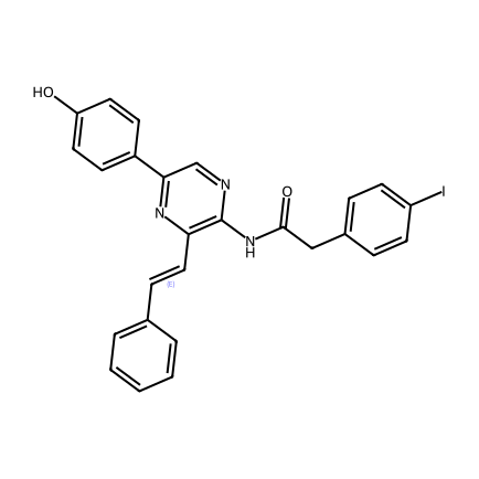 O=C(Cc1ccc(I)cc1)Nc1ncc(-c2ccc(O)cc2)nc1/C=C/c1ccccc1